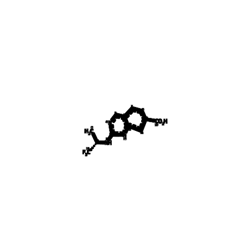 C[C@H](Nc1ncc2ccc(C(=O)O)cc2n1)C(F)(F)F